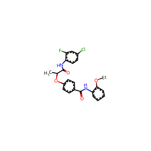 CCOc1ccccc1NC(=O)c1ccc(OC(C)C(=O)Nc2ccc(Cl)cc2F)cc1